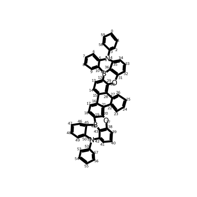 c1ccc(N2c3ccccc3B3c4ccc5c6ccc7c(c6c6ccccc6c5c4Oc4cccc2c43)Oc2cccc3c2B7c2ccccc2N3c2ccccc2)cc1